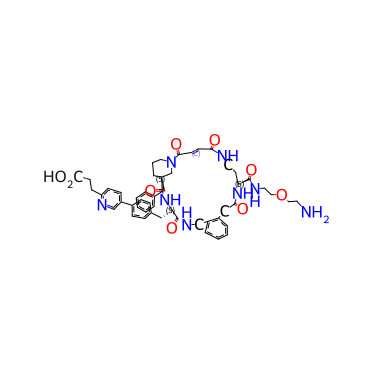 NCCOCCNC(=O)[C@@H]1CCNC(=O)/C=C/C(=O)N2CCC[C@](Cc3ccccc3)(C2)C(=O)N[C@@H](Cc2ccc(-c3ccc(CCC(=O)O)nc3)cc2)C(=O)NCc2ccccc2CC(=O)N1